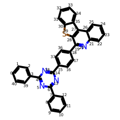 c1ccc(-c2nc(-c3ccccc3)nc(-c3ccc(-c4nc5ccccc5c5c4sc4ccccc45)cc3)n2)cc1